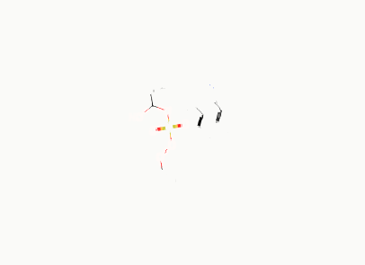 C=CC(=O)O.C=CC(=O)O.CCCCCC(O)OS(=O)(=O)OOS(=O)(=O)O.N